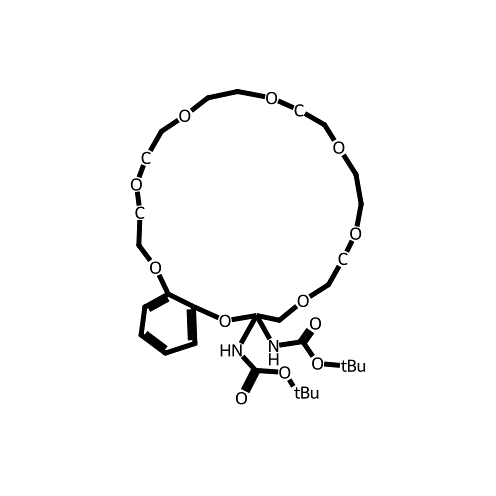 CC(C)(C)OC(=O)NC1(NC(=O)OC(C)(C)C)COCCOCCOCCOCCOCCOCCOc2ccccc2O1